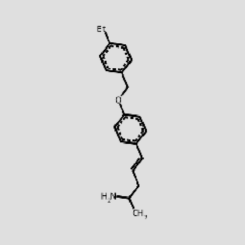 CCc1ccc(COc2ccc(C=CCC(C)N)cc2)cc1